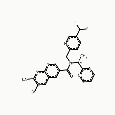 C[C@H](c1ncccn1)N(Cc1ccc(C(F)F)cn1)C(=O)c1cnc2nc(N)c(Br)cc2c1